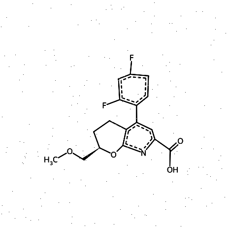 COC[C@H]1CCc2c(-c3ccc(F)cc3F)cc(C(=O)O)nc2O1